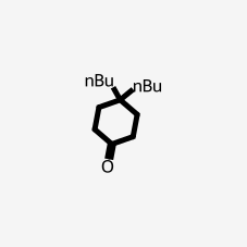 CCCCC1(CCCC)CCC(=O)CC1